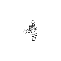 O=C1C=C(C(=O)OC2CCCCC2)C(=O)C(S(=O)(=O)Cc2ccccc2)=C1C(=O)OC1CCCCC1